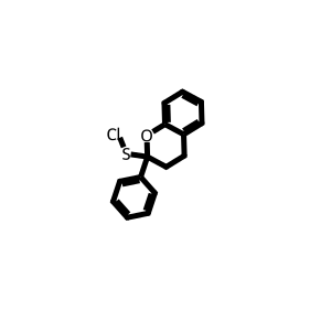 ClSC1(c2ccccc2)CCc2ccccc2O1